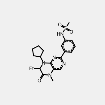 CCC1C(=O)N(C)c2cnc(-c3cccc(NS(C)(=O)=O)c3)nc2N1C1CCCC1